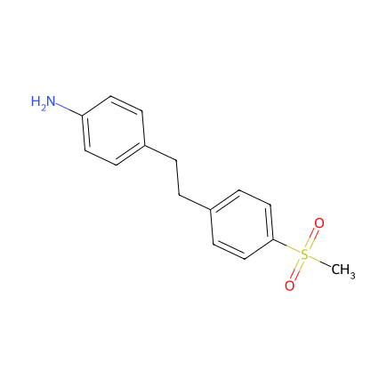 CS(=O)(=O)c1ccc(CCc2ccc(N)cc2)cc1